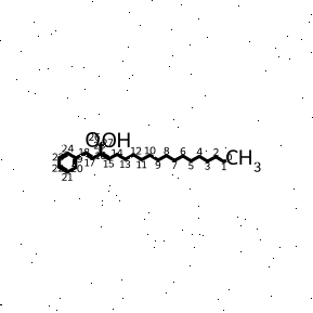 CCCCCCCCCCCCCCCC=C(C=Cc1ccccc1)C(=O)O